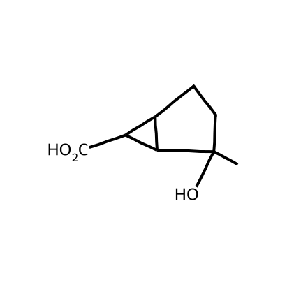 CC1(O)CCC2C(C(=O)O)C21